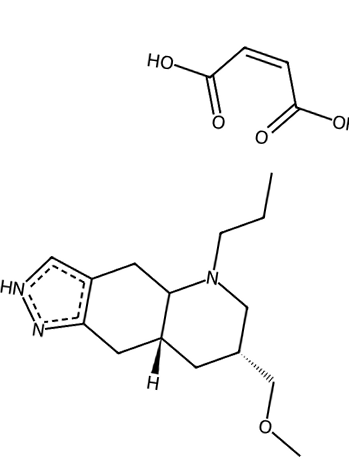 CCCN1C[C@H](COC)C[C@@H]2Cc3n[nH]cc3CC21.O=C(O)/C=C\C(=O)O